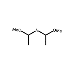 COC(C)[N]C(C)OC